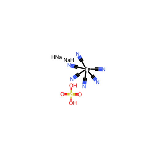 N#[C][Fe]([C]#N)([C]#N)([C]#N)([C]#N)[C]#N.O=S(=O)(O)O.[NaH].[NaH]